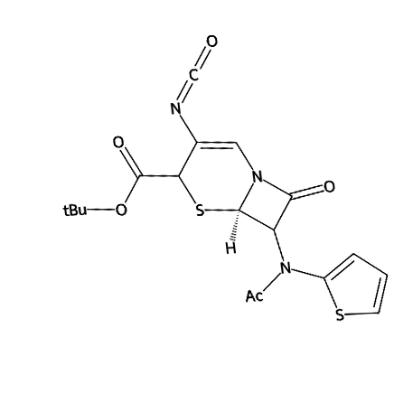 CC(=O)N(c1cccs1)C1C(=O)N2C=C(N=C=O)C(C(=O)OC(C)(C)C)S[C@H]12